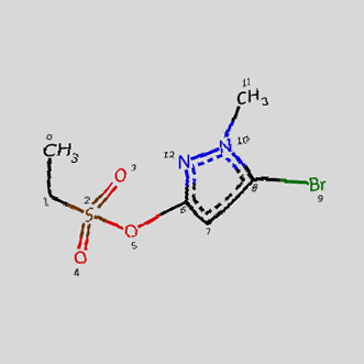 CCS(=O)(=O)Oc1cc(Br)n(C)n1